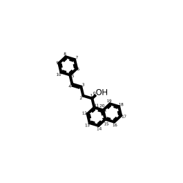 OC(CC=Cc1ccccc1)c1cccc2ccccc12